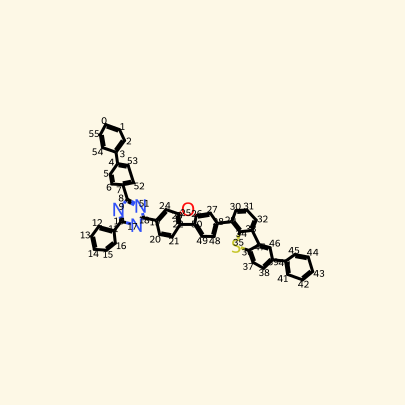 c1ccc(-c2ccc(-c3nc(-c4ccccc4)nc(-c4ccc5c(c4)oc4cc(-c6cccc7c6sc6ccc(-c8ccccc8)cc67)ccc45)n3)cc2)cc1